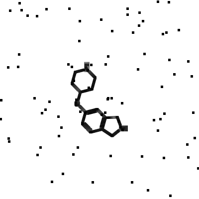 c1cc2c(cc1OC1CCNCC1)CNC2